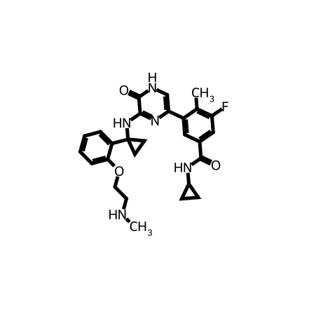 CNCCOc1ccccc1C1(Nc2nc(-c3cc(C(=O)NC4CC4)cc(F)c3C)c[nH]c2=O)CC1